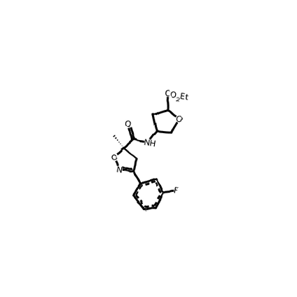 CCOC(=O)C1CC(NC(=O)[C@@]2(C)CC(c3cccc(F)c3)=NO2)CO1